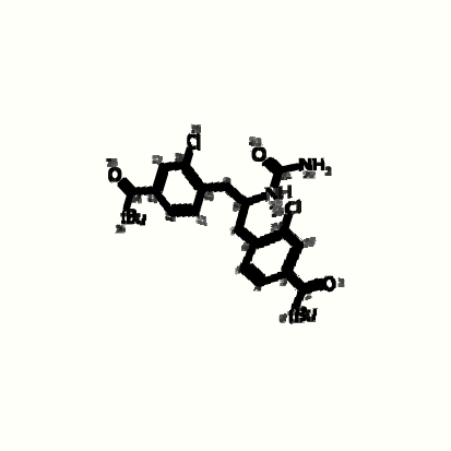 CC(C)(C)C(=O)c1ccc(CC(Cc2ccc(C(=O)C(C)(C)C)cc2Cl)NC(N)=O)c(Cl)c1